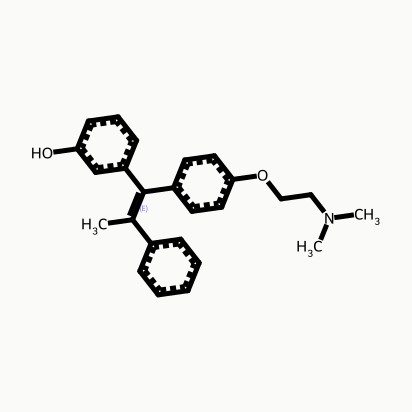 C/C(=C(/c1ccc(OCCN(C)C)cc1)c1cccc(O)c1)c1ccccc1